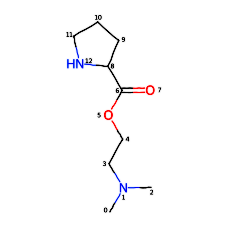 CN(C)CCOC(=O)C1CCCN1